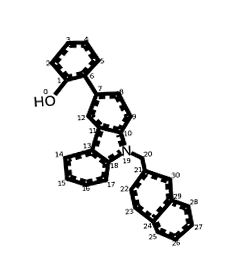 Oc1ccccc1-c1ccc2c(c1)c1ccccc1n2Cc1ccc2ccccc2c1